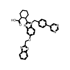 O=C(O)C1CCCCC1c1nc2cc(OCc3nc4ccccc4s3)ccc2n1Cc1ccc(-c2cncnc2)cc1